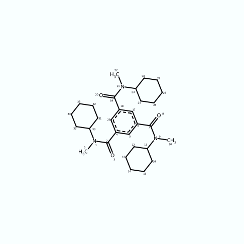 CN(C(=O)c1cc(C(=O)N(C)C2CCCCC2)cc(C(=O)N(C)C2CCCCC2)c1)C1CCCCC1